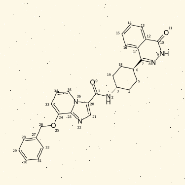 O=C(N[C@H]1CC[C@H](c2n[nH]c(=O)c3ccccc32)CC1)c1cnc2c(OCc3ccccc3)cccn12